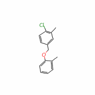 Cc1cc(COc2ccccc2C)ccc1Cl